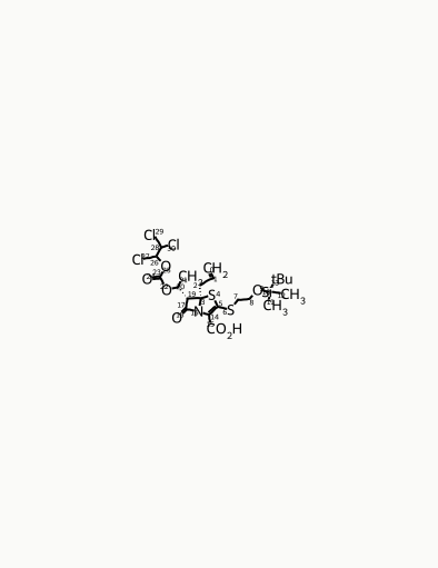 C=CC[C@]12SC(SCCO[Si](C)(C)C(C)(C)C)=C(C(=O)O)N1C(=O)[C@@H]2C(C)OC(=O)OC(Cl)C(Cl)Cl